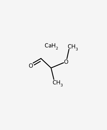 COC(C)C=O.[CaH2]